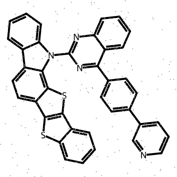 c1cncc(-c2ccc(-c3nc(-n4c5ccccc5c5ccc6c7sc8ccccc8c7sc6c54)nc4ccccc34)cc2)c1